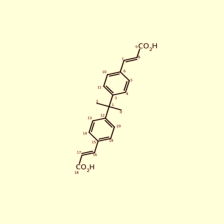 CC(C)(c1ccc(C=CC(=O)O)cc1)c1ccc(C=CC(=O)O)cc1